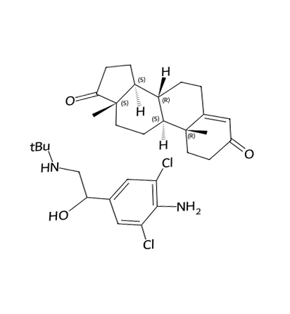 CC(C)(C)NCC(O)c1cc(Cl)c(N)c(Cl)c1.C[C@]12CCC(=O)C=C1CC[C@@H]1[C@@H]2CC[C@]2(C)C(=O)CC[C@@H]12